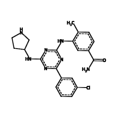 Cc1ccc(C(N)=O)cc1Nc1nc(NC2CCNC2)nc(-c2cccc(Cl)c2)n1